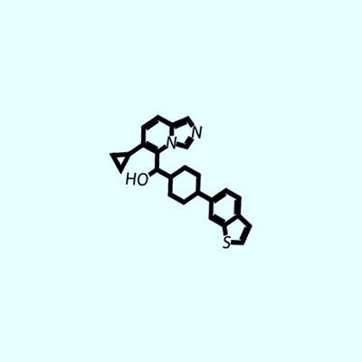 OC(c1c(C2CC2)ccc2cncn12)C1CCC(c2ccc3ccsc3c2)CC1